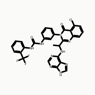 CC(Nc1ncnc2[nH]cnc12)c1nc2cccc(Cl)c2c(=O)n1-c1cccc(NC(=O)Nc2ccccc2C(F)(F)F)c1